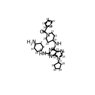 N[C@H]1CC[C@H](Nc2nc(NC3CCN(C(=O)c4cccs4)CC3)c3ncn(C4CCCC4)c3n2)CC1